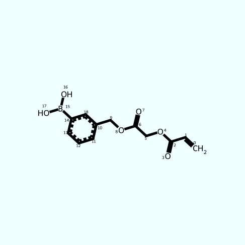 C=CC(=O)OCC(=O)OCc1cccc(B(O)O)c1